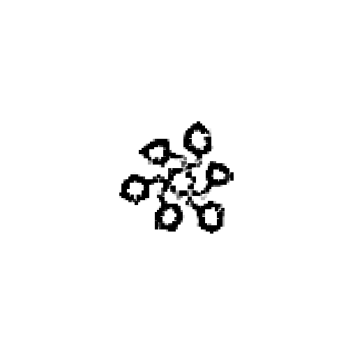 c1cncc(OP2(Oc3cccnc3)=NP(Oc3cccnc3)(Oc3cccnc3)=NP(Oc3cccnc3)(Oc3cccnc3)=N2)c1